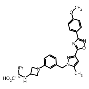 Cc1cc(-c2nc(-c3ccc(OC(F)(F)F)cc3)no2)nn1Cc1cccc(N2CC(N[C@H](C(=O)O)C(C)C)C2)c1